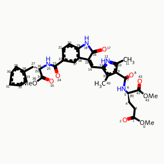 COC(=O)CC[C@@H](NC(=O)c1c(C)[nH]c(C=C2C(=O)Nc3ccc(C(=O)N[C@@H](Cc4ccccc4)C(=O)OC)cc32)c1C)C(=O)OC